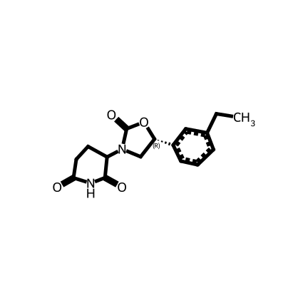 CCc1cccc([C@@H]2CN(C3CCC(=O)NC3=O)C(=O)O2)c1